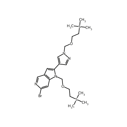 CS(C)(C)CCOCn1cc(-c2cc3cnc(Br)cc3n2COCCS(C)(C)C)cn1